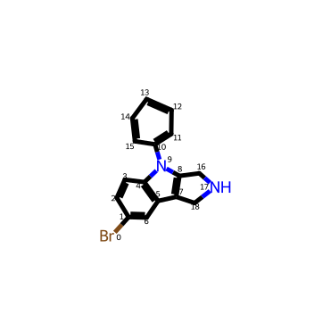 Brc1ccc2c(c1)c1c(n2-c2ccccc2)CNC1